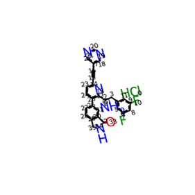 Cl.N[C@@H](Cc1cc(F)cc(F)c1)c1nc(C#Cc2cncnc2)ccc1-c1ccc2c(c1)C(=O)NC2